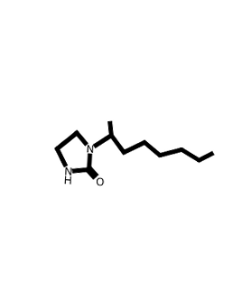 CCCCCCC(C)N1CCNC1=O